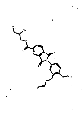 C=CCOc1cc(N2C(=O)c3ccc(C(=O)OCC(O)CC)cc3C2=O)ccc1OC